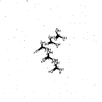 O=C(O)O.O=C(O)O.O=C(O)O.O=C(O)O.O=C(O)O